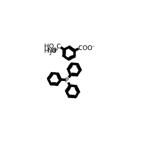 O.O=C([O-])c1cccc(C(=O)O)c1.[Na+].c1ccc(P(c2ccccc2)c2ccccc2)cc1